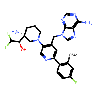 COc1cc(F)ccc1-c1cc(Cn2cnc3c(N)ncnc32)c(N2CCC[C@](N)([C@@H](O)C(F)F)C2)cn1